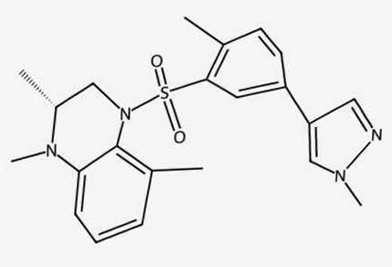 Cc1ccc(-c2cnn(C)c2)cc1S(=O)(=O)N1C[C@@H](C)N(C)c2cccc(C)c21